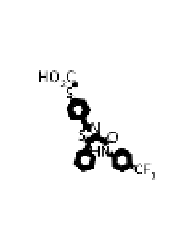 O=C(O)CSc1ccc(-c2nc(C(=O)Nc3ccc(C(F)(F)F)cc3)c(-c3ccccc3)s2)cc1